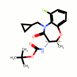 C[C@H]1Oc2cccc(F)c2N(CC2CC2)C(=O)[C@H]1NC(=O)OC(C)(C)C